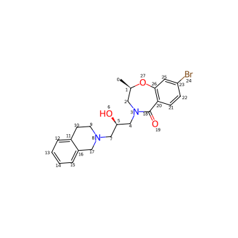 C[C@@H]1CN(C[C@H](O)CN2CCc3ccccc3C2)C(=O)c2ccc(Br)cc2O1